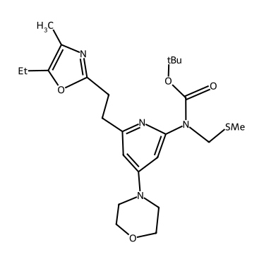 CCc1oc(CCc2cc(N3CCOCC3)cc(N(CSC)C(=O)OC(C)(C)C)n2)nc1C